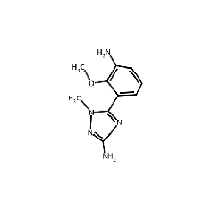 COc1c(N)cccc1-c1nc(N)nn1C